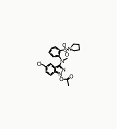 CC(=O)On1nc(N(C)c2ccccc2S(=O)(=O)N2CCCC2)c2cc(Cl)ccc21